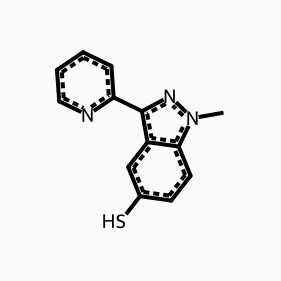 Cn1nc(-c2ccccn2)c2cc(S)ccc21